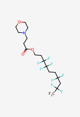 O=C(CCN1CCOCC1)OCCC(F)(F)C(F)(F)CCC(F)(F)CC(F)(F)C(F)(F)F